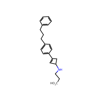 O=C(O)CCNC1C=C(c2ccc(CCCc3ccccc3)cc2)C1